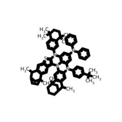 CC1c2cc3c(cc2C2(C)CCCC1C2)B1c2c(cc(N(c4ccccc4)c4ccccc4)cc2N(c2ccc4c(c2)C(C)(C)CCC4(C)C)c2sc4cc5c(cc4c21)C1(C)CCC(C1)C5C)N3c1ccc(C(C)(C)C)cc1